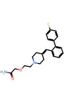 NC(=O)COCCN1CCC(=Cc2ccccc2-c2ccc(F)cc2)CC1